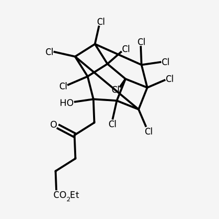 CCOC(=O)CCC(=O)CC1(O)C2(Cl)C3(Cl)C4(Cl)C(Cl)(Cl)C5(Cl)C3(Cl)C1(Cl)C5(Cl)C42Cl